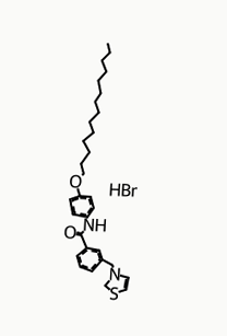 Br.CCCCCCCCCCCCCCOc1ccc(NC(=O)c2cccc(CN3C=CSC3)c2)cc1